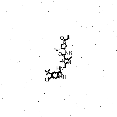 C=CC(=O)N1C[C@@H](CF)[C@@H](NC(=O)c2c(C)nc(CNc3n[nH]c4cc(Cl)c(C(C)(C)C)cc34)n2C)C1